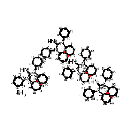 N=C(N(c1ccccc1)c1ccccc1)N(c1ccccc1)c1ccccc1.N=C(N(c1ccccc1)c1ccccc1)N(c1ccccc1)c1ccccc1.N=C(N(c1ccccc1)c1ccccc1)N(c1ccccc1)c1ccccc1.N=C(N(c1ccccc1)c1ccccc1)N(c1ccccc1)c1ccccc1.P